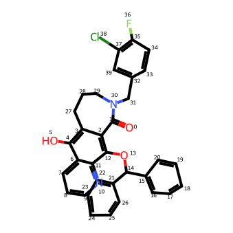 O=C1c2c(c(O)c3cccnc3c2OC(c2ccccc2)c2ccccc2)CCCN1Cc1ccc(F)c(Cl)c1